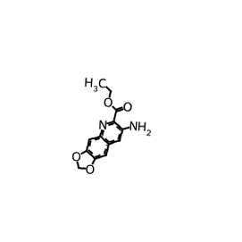 CCOC(=O)c1nc2cc3c(cc2cc1N)OCO3